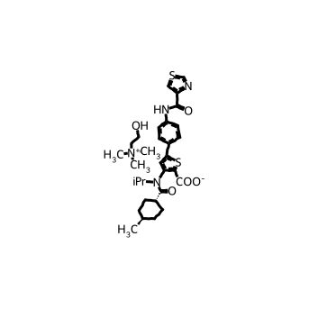 CC(C)N(c1cc(-c2ccc(NC(=O)c3cscn3)cc2)sc1C(=O)[O-])C(=O)[C@H]1CC[C@H](C)CC1.C[N+](C)(C)CCO